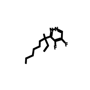 CCCCCCC(C)(CC)c1nncc(F)c1F